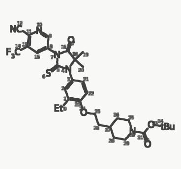 CCc1cc(N2C(=S)N(c3cnc(C#N)c(C(F)(F)F)c3)C(=O)C2(C)C)ccc1OCCC1CCN(C(=O)OC(C)(C)C)CC1